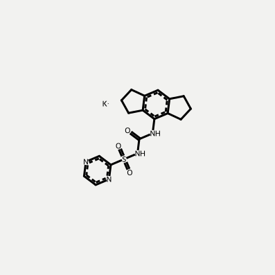 O=C(Nc1c2c(cc3c1CCC3)CCC2)NS(=O)(=O)c1cnccn1.[K]